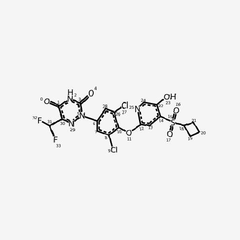 O=c1[nH]c(=O)n(-c2cc(Cl)c(Oc3cc(S(=O)(=O)C4CCC4)c(O)cn3)c(Cl)c2)nc1C(F)F